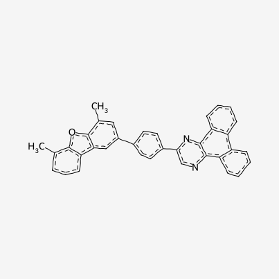 Cc1cccc2c1oc1c(C)cc(-c3ccc(-c4cnc5c6ccccc6c6ccccc6c5n4)cc3)cc12